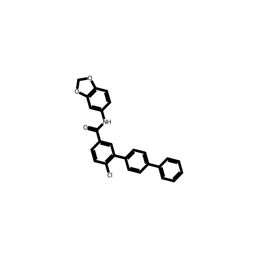 O=C(Nc1ccc2c(c1)OCO2)c1ccc(Cl)c(-c2ccc(-c3ccccc3)cc2)c1